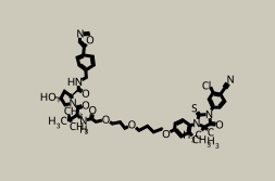 Cc1cc(OCCCCOCCCOCC(=O)NC(C(=O)N2C[C@H](O)C[C@H]2C(=O)NCc2ccc(-c3cnco3)cc2)C(C)(C)C)ccc1N1C(=S)N(c2ccc(C#N)c(Cl)c2)C(=O)C1(C)C